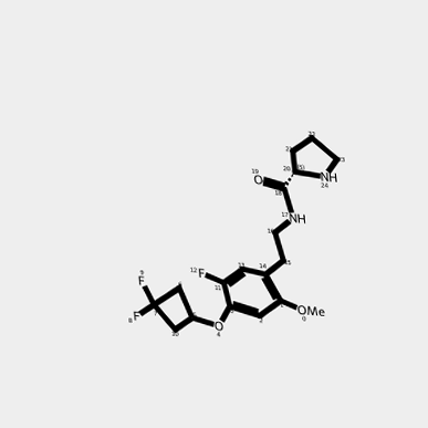 COc1cc(OC2CC(F)(F)C2)c(F)cc1CCNC(=O)[C@@H]1CCCN1